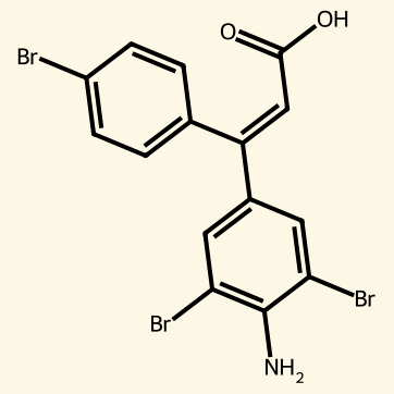 Nc1c(Br)cc(C(=CC(=O)O)c2ccc(Br)cc2)cc1Br